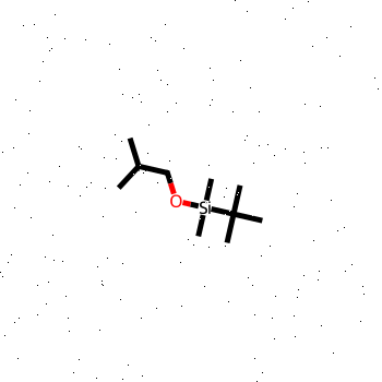 C[C](C)CO[Si](C)(C)C(C)(C)C